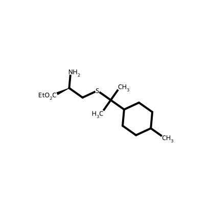 CCOC(=O)[C@@H](N)CSC(C)(C)C1CCC(C)CC1